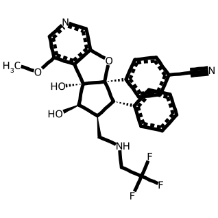 COc1cncc2c1[C@]1(O)[C@H](O)[C@H](CNCC(F)(F)F)[C@@H](c3ccccc3)[C@]1(c1ccc(C#N)cc1)O2